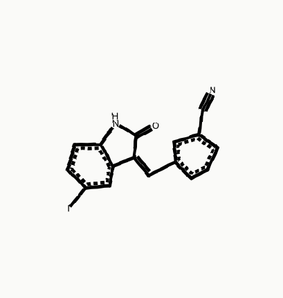 N#Cc1cccc(C=C2C(=O)Nc3ccc(I)cc32)c1